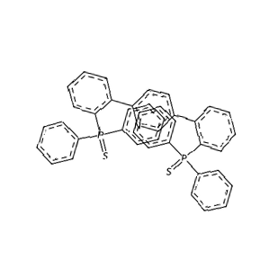 S=P(c1ccccc1)(c1ccccc1)c1ccccc1-c1ccc(-c2ccccc2P(=S)(c2ccccc2)c2ccccc2)nc1